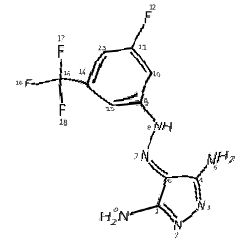 NC1=NN=C(N)C1=NNc1cc(F)cc(C(F)(F)F)c1